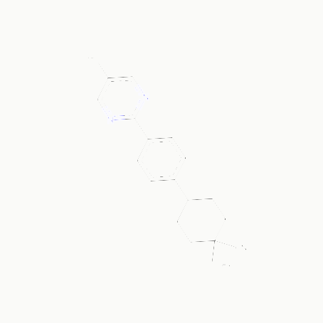 CCCCCCCCCCc1cnc(-c2ccc(C3CCC(C#N)(CCCCCC)CC3)cc2)nc1